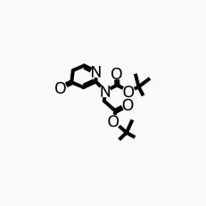 CC(C)(C)OC(=O)CN(C(=O)OC(C)(C)C)C1=CC(=O)CC=N1